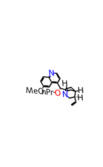 C=C[C@H]1CN2CC[C@H]1C[C@H]2[C@H](OCCC)c1ccnc2ccc(OC)cc12